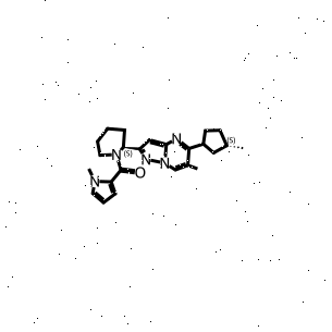 Cc1cn2nc([C@@H]3CCCCN3C(=O)c3cccn3C)cc2nc1C1CC[C@H](C)C1